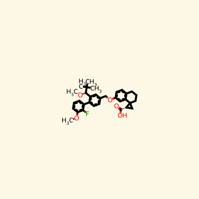 COc1cccc(-c2ccc(COc3ccc4c(c3)C3(CCC4)C[C@@H]3C(=O)O)cc2[C@@H](OC)C(C)(C)C)c1F